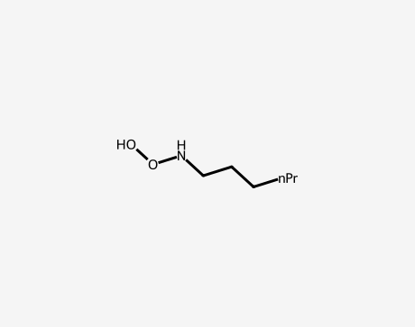 CCCCCCNOO